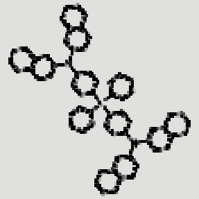 c1ccc([Si](c2ccccc2)(c2ccc(N(c3ccc4ccccc4c3)c3ccc4ccccc4c3)cc2)c2ccc(N(c3ccc4ccccc4c3)c3ccc4ccccc4c3)cc2)cc1